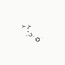 COc1cccc(OC[C@H]2C[C@@H](C(=O)O)N(C(=O)O[C@@H](OC(=O)C(C)C)C(C)C)C2)c1